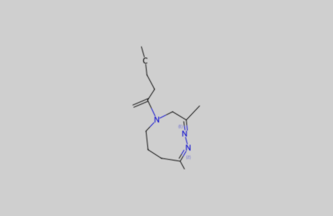 C=C(CCCC)N1CCC/C(C)=N\N=C(/C)C1